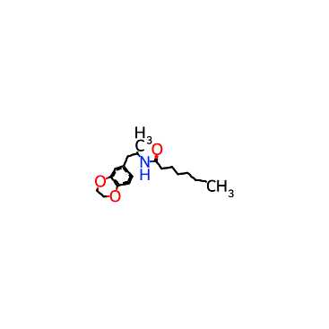 CCCCCCCC(=O)N[C@H](C)Cc1ccc2c(c1)OCCO2